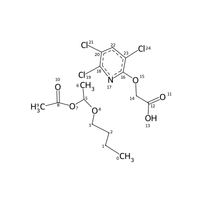 CCCCOC(C)OC(C)=O.O=C(O)COc1nc(Cl)c(Cl)cc1Cl